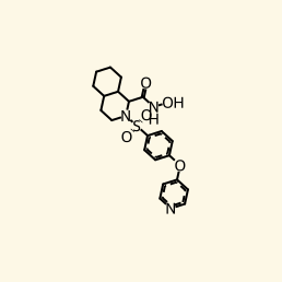 O=C(NO)C1C2CCCCC2CCN1S(=O)(=O)c1ccc(Oc2ccncc2)cc1